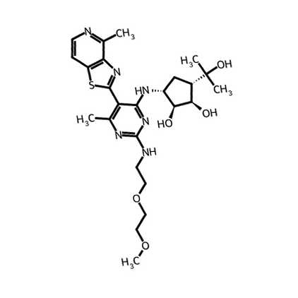 COCCOCCNc1nc(C)c(-c2nc3c(C)nccc3s2)c(N[C@@H]2C[C@H](C(C)(C)O)[C@@H](O)[C@H]2O)n1